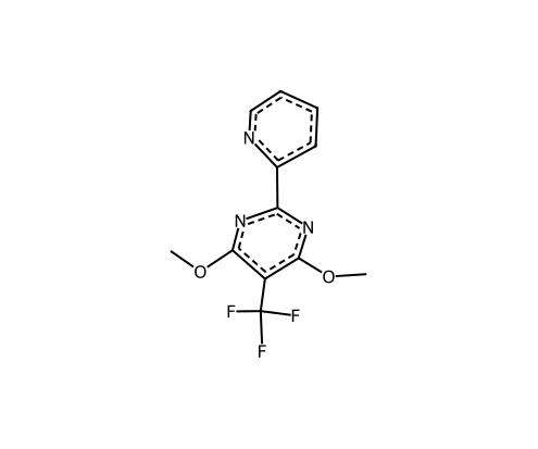 COc1nc(-c2ccccn2)nc(OC)c1C(F)(F)F